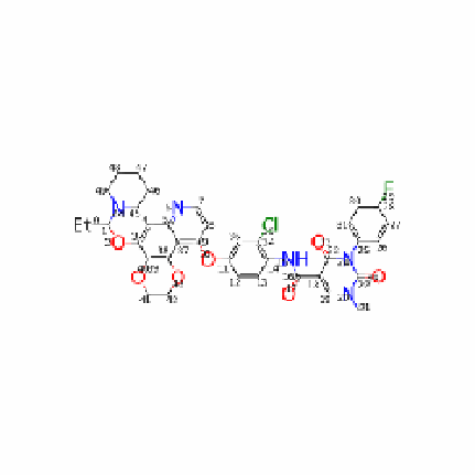 CCC(Oc1cc2nccc(Oc3ccc(NC(=O)c4cn(C)c(=O)n(-c5ccc(F)cc5)c4=O)c(Cl)c3)c2c2c1OCCO2)N1CCCCC1